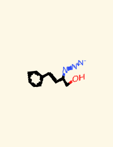 [N-]=[N+]=NC(/C=C/c1ccccc1)CO